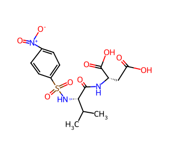 CC(C)[C@H](NS(=O)(=O)c1ccc([N+](=O)[O-])cc1)C(=O)N[C@@H](CC(=O)O)C(=O)O